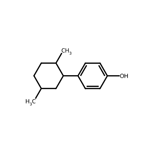 CC1CCC(C)C(c2ccc(O)cc2)C1